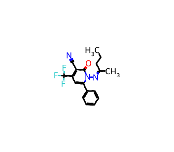 CCCC(C)=Nn1c(-c2ccccc2)cc(C(F)(F)F)c(C#N)c1=O